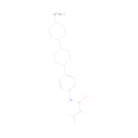 CCCCCC1CCC(C2CCC(c3ccc(N(C)C(=O)C(C)=C(C)C)cc3)CC2)CC1